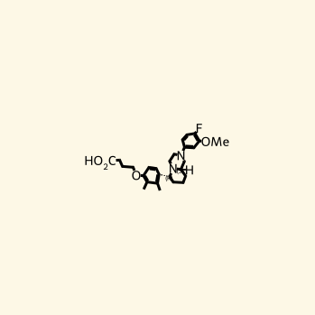 COc1cc(N2CCN3[C@@H](CCC[C@@H]3c3ccc(OCCCC(=O)O)c(C)c3C)C2)ccc1F